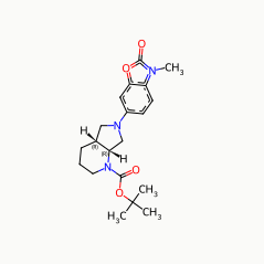 Cn1c(=O)oc2cc(N3C[C@H]4CCCN(C(=O)OC(C)(C)C)[C@H]4C3)ccc21